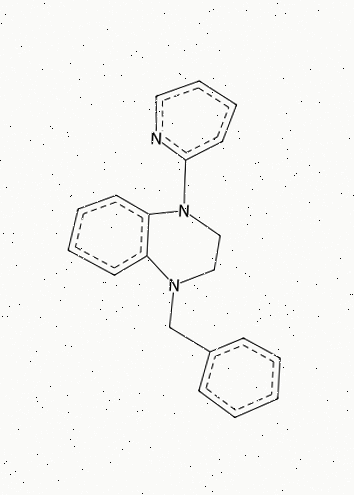 c1ccc(CN2CCN(c3ccccn3)c3ccccc32)cc1